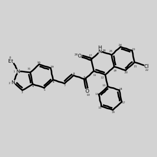 CCn1ncc2cc(/C=C/C(=O)c3c(-c4ccccc4)c4cc(Cl)ccc4[nH]c3=O)ccc21